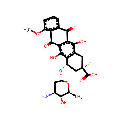 COc1cccc2c1C(=O)c1c(O)c3c(c(O)c1C2=O)C[C@@](O)(C(=O)O)C[C@@H]3O[C@H]1C[C@H](N)[C@H](O)[C@H](C)O1